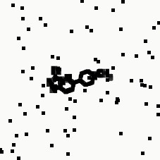 CCc1nnc2ccc(C3CCN(C)CC3)nn12